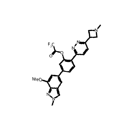 COc1cc(-c2ccc(-c3ccc(C4CN(C)C4)nn3)c(OC(=O)C(F)(F)F)c2)cc2cn(C)nc12